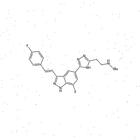 CC(C)(C)NCCc1nnc(-c2cc(F)c3[nH]nc(/C=C/c4ccc(F)cc4)c3c2)[nH]1